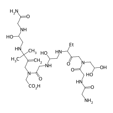 C=C(CN(CC(=O)O)C(=O)CNC(O)CNC(CC)C(=O)CN(CC(O)O)C(=O)CNC(=O)CN)C(C)(C)NCC(O)NCC(N)=O